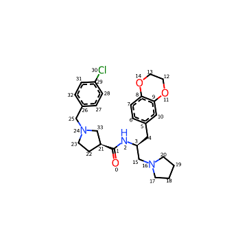 O=C(N[C@@H](Cc1ccc2c(c1)OCCO2)CN1CCCC1)[C@H]1CCN(Cc2ccc(Cl)cc2)C1